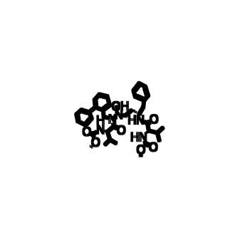 COC(=O)N[C@H](C(=O)N[C@H](CCN(O)N(Cc1ccccc1-c1ccccc1)C(=O)[C@@H](NC(=O)OC)C(C)C)Cc1ccccc1)C(C)C